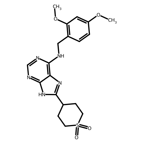 COc1ccc(CNc2ncnc3[nH]c(C4CCS(=O)(=O)CC4)nc23)c(OC)c1